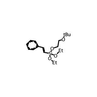 CCO[Si](C=Cc1ccccc1)(OCC)OCCOC(C)(C)C